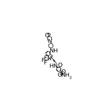 COc1cc(S(N)(=O)=O)ccc1NCC#Cc1cc2c(NC3CCC(N4CCC5(CCO5)CC4)CC3)cccc2n1CC(F)(F)F